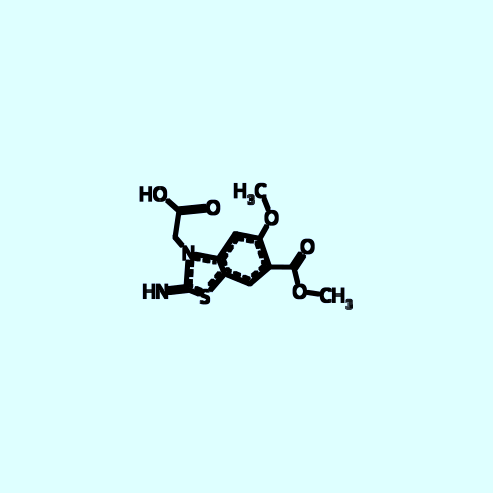 COC(=O)c1cc2sc(=N)n(CC(=O)O)c2cc1OC